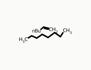 C=CCCCC.CCCCCCCC